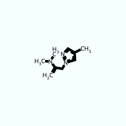 C=C(Cn1cc(C)cn1)N(C)C